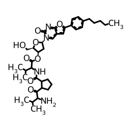 CCCCCc1ccc(-c2cc3cn([C@H]4C[C@@H](OC(=O)C(NC(=O)C5CCCC5C(=O)C(N)C(C)C)C(C)C)[C@@H](CO)O4)c(=O)nc3o2)cc1